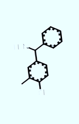 Cc1cc(C(N)c2ccccc2)ccc1Cl